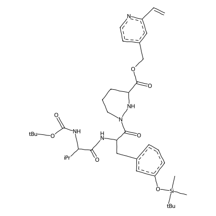 C=Cc1cc(COC(=O)C2CCCN(C(=O)C(Cc3cccc(O[Si](C)(C)C(C)(C)C)c3)NC(=O)C(NC(=O)OC(C)(C)C)C(C)C)N2)ccn1